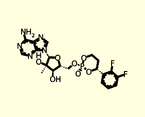 C[C@@]1(O)[C@H](O)[C@@H](CO[P@]2(=O)OCC[C@H](c3cccc(F)c3F)O2)O[C@H]1n1cnc2c(N)ncnc21